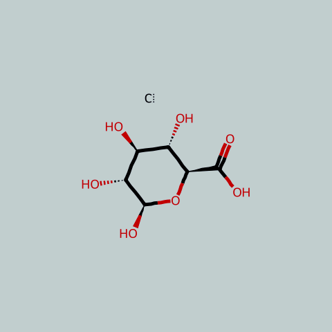 O=C(O)[C@H]1O[C@@H](O)[C@H](O)[C@@H](O)[C@@H]1O.[C]